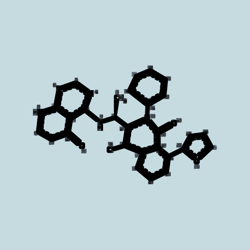 C[C@H](Nc1ncnc2[nH]ccc(=O)c12)c1c(Cl)c2cccc(-c3ccco3)c2c(=O)n1-c1ccccc1